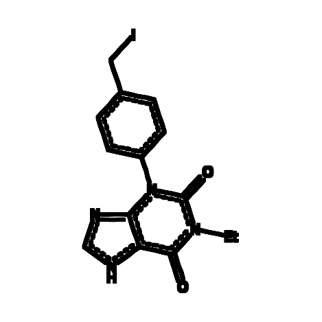 CCn1c(=O)c2[nH]cnc2n(-c2ccc(CI)cc2)c1=O